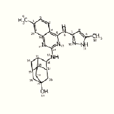 Cc1ccc2c(Nc3cc(C)[nH]n3)nc(NC3C4CC5CC3CC(O)(C5)C4)nc2c1